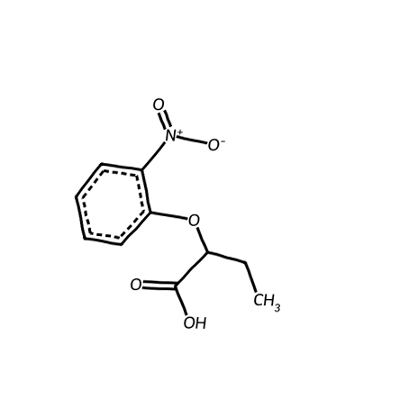 CCC(Oc1ccccc1[N+](=O)[O-])C(=O)O